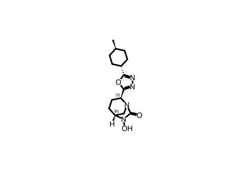 C[C@H]1CC[C@H](c2nnc([C@@H]3CC[C@@H]4CN3C(=O)N4O)o2)CC1